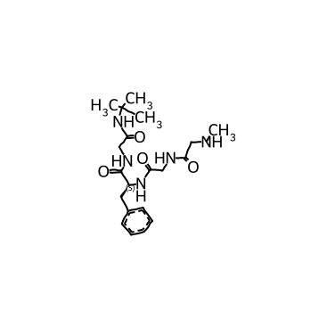 CNCC(=O)NCC(=O)N[C@@H](Cc1ccccc1)C(=O)NCC(=O)NC(C)(C)C